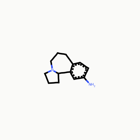 Nc1ccc2c(c1)C1CCCN1CCC2